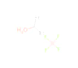 CCC([OH2+])CC.F[B-](F)(F)F